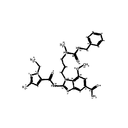 CCn1nc(C)cc1C(=O)Nc1nc2cc(C(N)=O)cc(OC)c2n1CCCN(C)C(=O)NCc1ccccc1